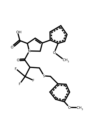 COc1ccc(CSCC(C(=O)N2CC(c3ccccc3OC)=CC2C(=O)O)C(F)(F)F)cc1